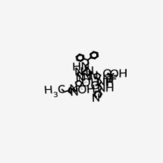 CCc1cnn([C@H]2C[C@@H](n3cnc4c(NCC(c5ccccc5)c5ccccc5)nc(N5CC[C@@H](NC(=O)Nc6ccncc6)C5)nc43)[C@H](O)[C@@H]2O)c1.O=C(O)C(F)(F)F